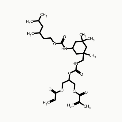 C=CC(=O)OCC(COC(=O)C(=C)C)OC(=O)NCC1(C)CC(NC(=O)OCCC(C)CC(C)C)CC(C)(C)C1